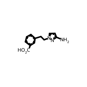 Nc1ccn(CCc2cccc(C(=O)O)c2)n1